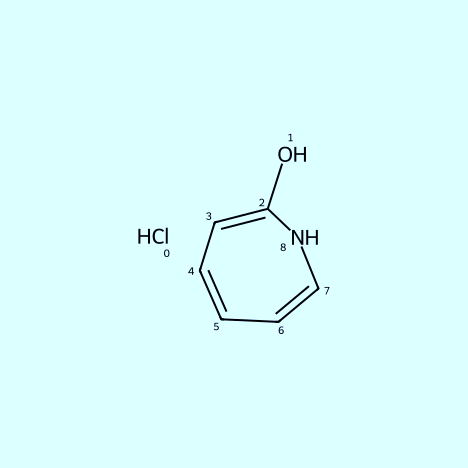 Cl.OC1=CC=CC=CN1